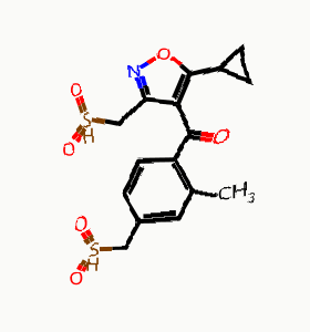 Cc1cc(C[SH](=O)=O)ccc1C(=O)c1c(C[SH](=O)=O)noc1C1CC1